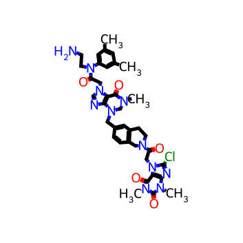 Cc1cc(C)cc(N(CCN)C(=O)Cn2cnc3c2C(=O)N(C)CN3Cc2ccc3c(c2)CCN(C(=O)Cn2c(Cl)nc4c2c(=O)n(C)c(=O)n4C)C3)c1